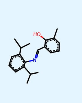 Cc1cccc(/C=N/c2c(C(C)C)cccc2C(C)C)c1O